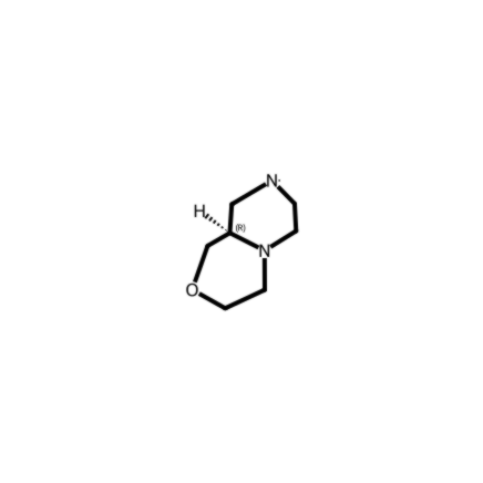 C1CN2CCOC[C@H]2C[N]1